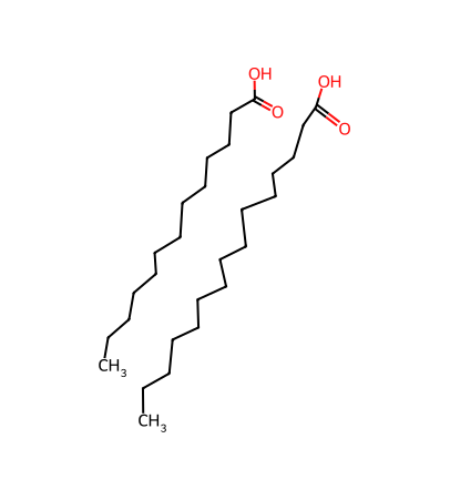 CCCCCCCCCCCCC(=O)O.CCCCCCCCCCCCCCC(=O)O